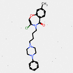 Cc1ccc2c(c1)OC=C(Cl)N(CCCCN1CCN(c3ccccc3)CC1)C2=O